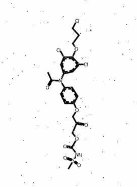 CC(=O)N(c1ccc(OCC(=O)COC(=O)NS(C)(=O)=O)cc1)c1cc(Cl)c(OCCCCl)c(Cl)c1